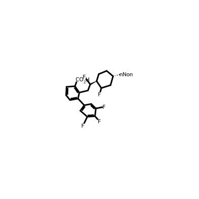 CCCCCCCCC[C@H]1CC[C@H](C(F)Cc2c(C(=O)O)cccc2-c2cc(F)c(F)c(F)c2)C(F)C1